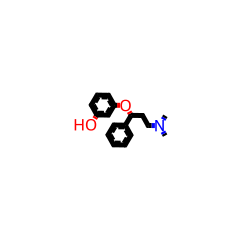 CN(C)CCC(Oc1cccc(O)c1)c1ccccc1